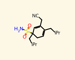 CC(C)CC1=CCC(CC(C)C)(S(N)(=O)=O)C=C1CC#N